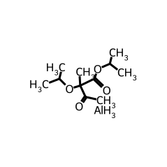 CC(=O)C(C)(OC(C)C)C(=O)OC(C)C.[AlH3]